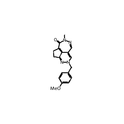 COc1ccc(CN2C=C3C=NN(C)C(=O)C4=C3C(=N2)CC4)cc1